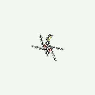 CCCCCCCCCCCCC(CCCCCCCCCC)Cc1c(-c2ccc(-c3ccc(-c4ccc(C)s4)s3)cc2)c(=O)c2c(CC(CCCCCCCCCC)CCCCCCCCCCCC)c(-c3ccc(C)cc3)c(=O)c1=2